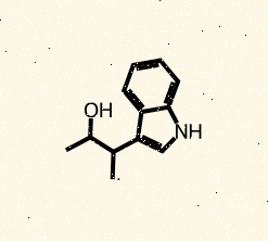 [CH2]C(c1c[nH]c2ccccc12)C(C)O